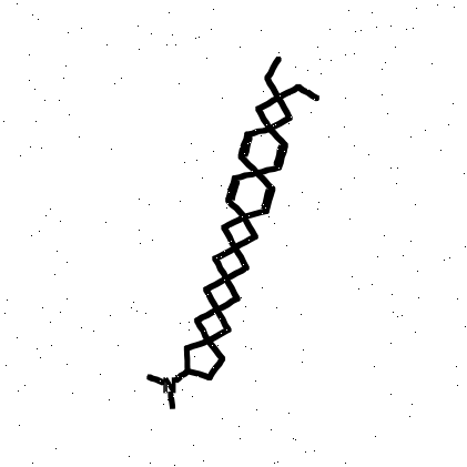 CCC1(CC)CC2(C=CC3(C=C2)C=CC2(C=C3)CC3(C2)CC2(C3)CC3(CC4(CCC(N(C)C)C4)C3)C2)C1